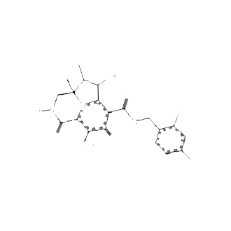 CC1C(O)c2c(C(=O)NCc3ccc(F)cc3F)c(=O)c(O)c3n2C1(C)CN(C)C3=O